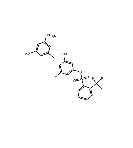 Cc1cc(O)cc(O)c1.Cc1cc(O)cc(OS(=O)(=O)c2ccccc2C(F)(F)F)c1.O